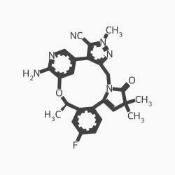 C[C@H]1Oc2cc(cnc2N)-c2c(nn(C)c2C#N)CN2C(=O)C(C)(C)C=C2c2ccc(F)cc21